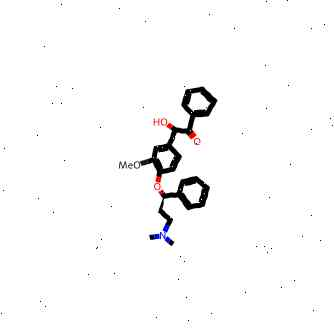 COc1cc(C(O)C(=O)c2ccccc2)ccc1O[C@H](CCN(C)C)c1ccccc1